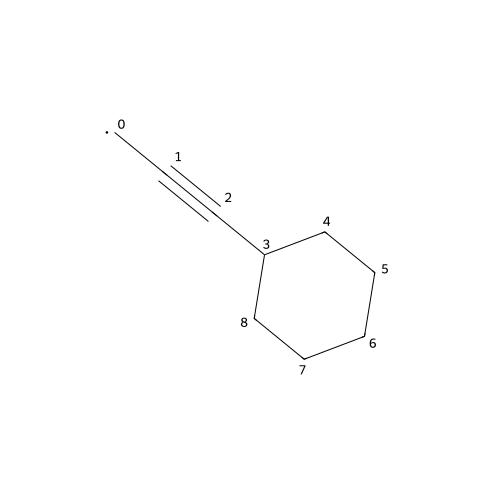 [CH2]C#CC1CCCCC1